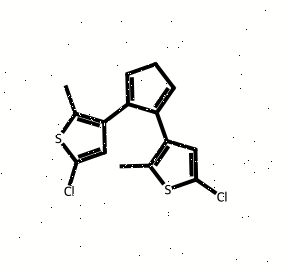 Cc1sc(Cl)cc1C1=CCC=C1c1cc(Cl)sc1C